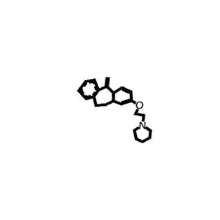 C=C1c2ccccc2CCC2C=C(OCCN3CCCCC3)C=CC12